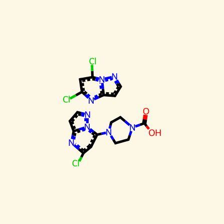 Clc1cc(Cl)n2nccc2n1.O=C(O)N1CCN(c2cc(Cl)nc3ccnn23)CC1